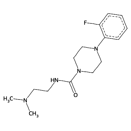 CN(C)CCNC(=O)N1CCN(c2ccccc2F)CC1